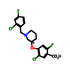 O=C(O)c1cc(Cl)c(O[C@@H]2CCCN(Cc3ccc(F)cc3Cl)C2)cc1F